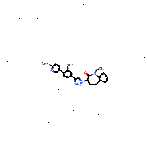 COc1cc(-c2cn(C3CCc4ccccc4N(CC(F)(F)F)C3=O)nn2)ccc1-c1ccc(NC(C)=O)nc1